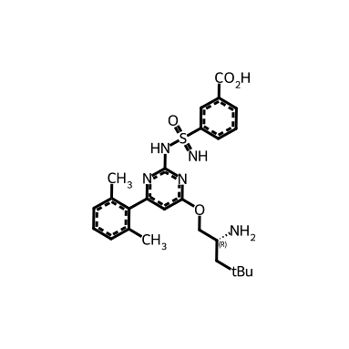 Cc1cccc(C)c1-c1cc(OC[C@H](N)CC(C)(C)C)nc(NS(=N)(=O)c2cccc(C(=O)O)c2)n1